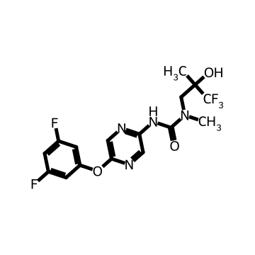 CN(CC(C)(O)C(F)(F)F)C(=O)Nc1cnc(Oc2cc(F)cc(F)c2)cn1